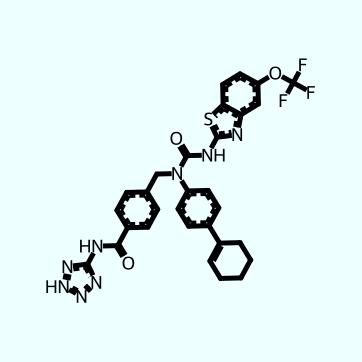 O=C(Nc1nn[nH]n1)c1ccc(CN(C(=O)Nc2nc3cc(OC(F)(F)F)ccc3s2)c2ccc(C3=CCCCC3)cc2)cc1